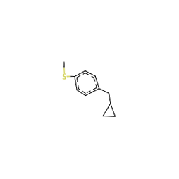 CSc1ccc(CC2CC2)cc1